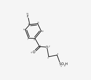 O=C(OCCS(=O)(=O)O)c1ccc(F)cc1